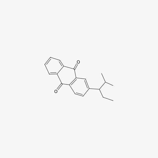 CCC(c1ccc2c(c1)C(=O)c1ccccc1C2=O)C(C)C